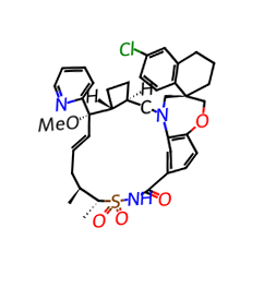 CO[C@@]1(c2ccccn2)/C=C/C[C@H](C)[C@@H](C)S(=O)(=O)NC(=O)c2ccc3c(c2)N(C[C@@H]2CC[C@H]21)C[C@@]1(CCCc2cc(Cl)ccc21)CO3